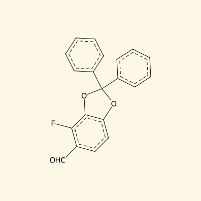 O=Cc1ccc2c(c1F)OC(c1ccccc1)(c1ccccc1)O2